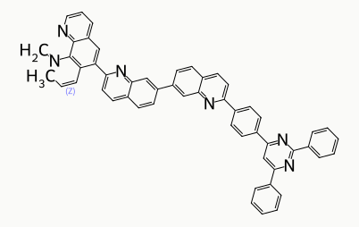 C=Nc1c(/C=C\C)c(-c2ccc3ccc(-c4ccc5ccc(-c6ccc(-c7cc(-c8ccccc8)nc(-c8ccccc8)n7)cc6)nc5c4)cc3n2)cc2cccnc12